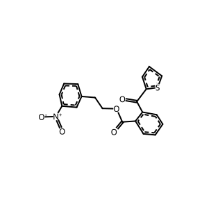 O=C(OCCc1cccc([N+](=O)[O-])c1)c1ccccc1C(=O)c1cccs1